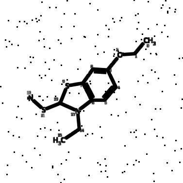 CCOc1ccc2c(c1)SC(S[N])N2CC